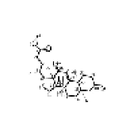 COC(=O)CC[C@@H](C)[C@H]1CC[C@H]2[C@@H]3CC[C@]4(C)C[C@H](C)CC[C@]4(C)C3=CC(=O)[C@]12C